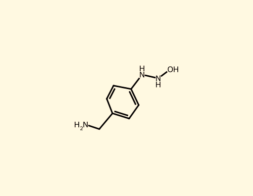 NCc1ccc(NNO)cc1